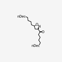 CCCCCCCCCCCCCCC(=O)C1=NOC(CCCCCCCCCCCCCC)C1